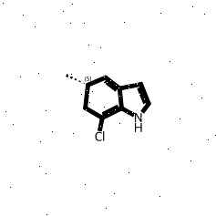 C[C@@H]1C=c2cc[nH]c2=C(Cl)C1